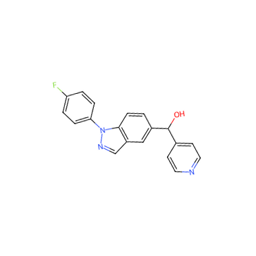 OC(c1ccncc1)c1ccc2c(cnn2-c2ccc(F)cc2)c1